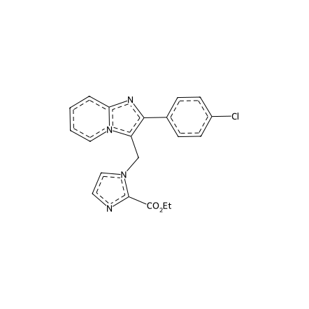 CCOC(=O)c1nccn1Cc1c(-c2ccc(Cl)cc2)nc2ccccn12